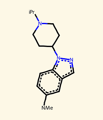 CNc1ccc2c(cnn2C2CCN(C(C)C)CC2)c1